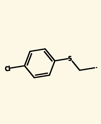 [CH2]CSc1ccc(Cl)cc1